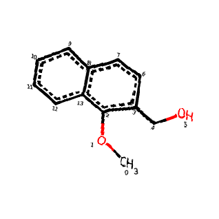 COc1c(CO)ccc2ccccc12